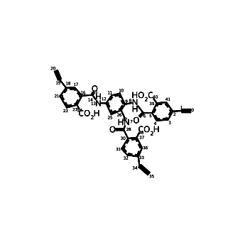 C#Cc1ccc(C(=O)Nc2ccc(NC(=O)c3cc(C#C)ccc3C(=O)O)cc2NC(=O)c2ccc(C#C)cc2C(=O)O)c(C(=O)O)c1